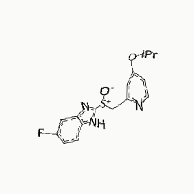 CC(C)Oc1ccnc(C[S+]([O-])c2nc3cc(F)ccc3[nH]2)c1